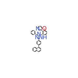 c1ccc(C2=NC(c3ccc(-c4cccc5ccccc45)cc3)NC(c3cccc4oc5ccncc5c34)=N2)cc1